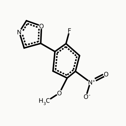 COc1cc(-c2cnco2)c(F)cc1[N+](=O)[O-]